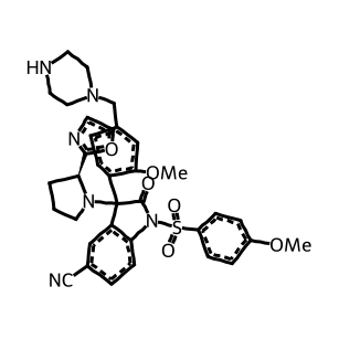 COc1ccc(S(=O)(=O)N2C(=O)C(c3ccc(CN4CCNCC4)cc3OC)(N3CCC[C@H]3c3ncco3)c3cc(C#N)ccc32)cc1